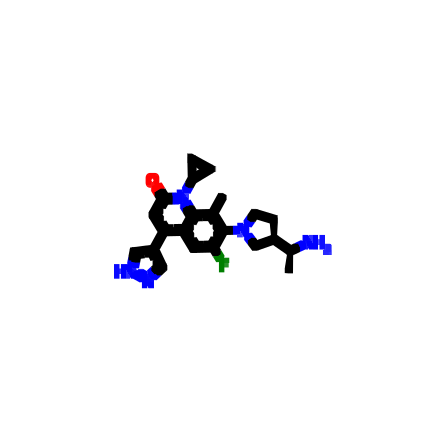 Cc1c(N2CC[C@@H]([C@H](C)N)C2)c(F)cc2c(-c3cn[nH]c3)cc(=O)n(C3CC3)c12